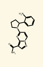 NC(=O)c1cnn2ccc(N3CCCC3c3ccccc3N)nc12